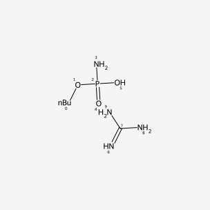 CCCCOP(N)(=O)O.N=C(N)N